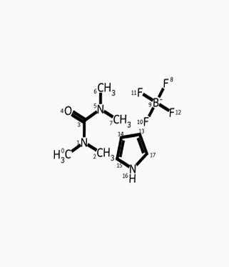 CN(C)C(=O)N(C)C.F[B-](F)(F)F.c1cc[nH]c1